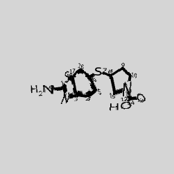 Nc1nc2ccc(SC3CCN(C(=O)O)C3)cc2s1